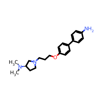 CN(C)[C@@H]1CCN(CCCOc2ccc(-c3ccc(N)cc3)cc2)C1